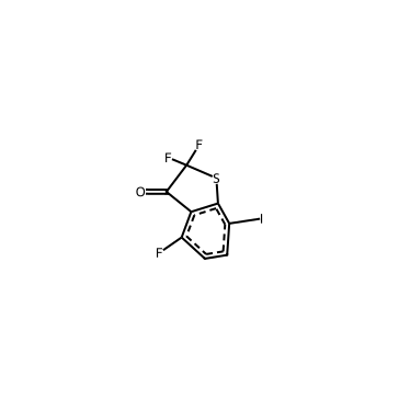 O=C1c2c(F)ccc(I)c2SC1(F)F